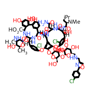 CN[C@H](CC(C)C)C(=O)N[C@H]1C(=O)N[C@@H](CC(N)=O)C(=O)N[C@H]2C(=O)N[C@H]3C(=O)N[C@H](C(=O)N[C@@H](C(=O)O)c4cc(O)cc(O)c4-c4cc3ccc4O)[C@H](O[C@H]3C[C@](C)(N)[C@@H](O)[C@H](C)O3)c3ccc(c(Cl)c3)Oc3cc2cc(c3O[C@@H]2O[C@H](CO)[C@@H](O[C@@H]3O[C@H](CNCc4coc(-c5ccc(Cl)cc5)n4)[C@H](O)[C@H](O)[C@H]3O)[C@H](O)[C@H]2O)Oc2ccc(cc2Cl)[C@H]1O